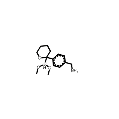 CO[SiH](OC)C1(c2ccc(CN)cc2)CCCCO1